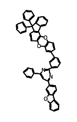 c1ccc(-c2cc(-c3ccc4c(c3)oc3ccccc34)nc(-c3cccc(-c4ccc5c(c4)Oc4ccc6c(c4O5)-c4ccccc4C6(c4ccccc4)c4ccccc4)c3)n2)cc1